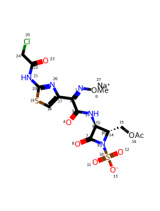 CON=C(C(=O)N[C@@H]1C(=O)N(S(=O)(=O)[O-])[C@H]1COC(C)=O)c1csc(NC(=O)CCl)n1.[Na+]